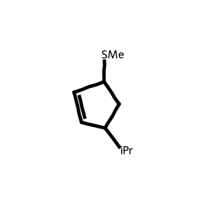 CSC1C=CC(C(C)C)C1